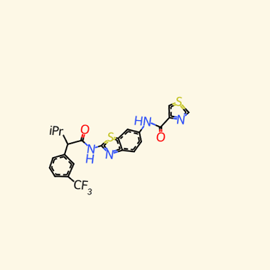 CC(C)C(C(=O)Nc1nc2ccc(NC(=O)c3cscn3)cc2s1)c1cccc(C(F)(F)F)c1